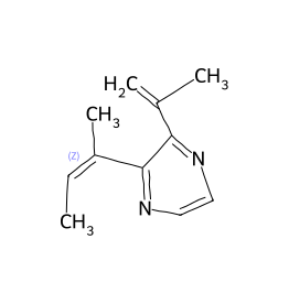 C=C(C)c1nccnc1/C(C)=C\C